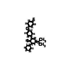 CC(C)n1cc(-c2ccccc2)c(=S)c(-c2ccc(Oc3ccc(F)cc3)cc2)c1